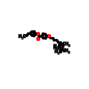 CCCC12CCC(OC(=O)c3ccc(OCCCCCC[Si](C)(C)C[Si](C)(C)C)cc3)(CC1)CC2